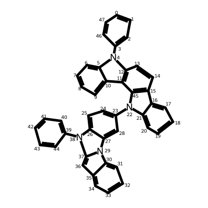 c1ccc(-n2c3ccccc3c3c2ccc2c4ccccc4n(-c4ccc5c(c4)n4c6ccccc6cc4n5-c4ccccc4)c23)cc1